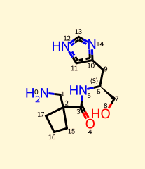 NCC1(C(=O)N[C@H](CO)Cc2c[nH]cn2)CCC1